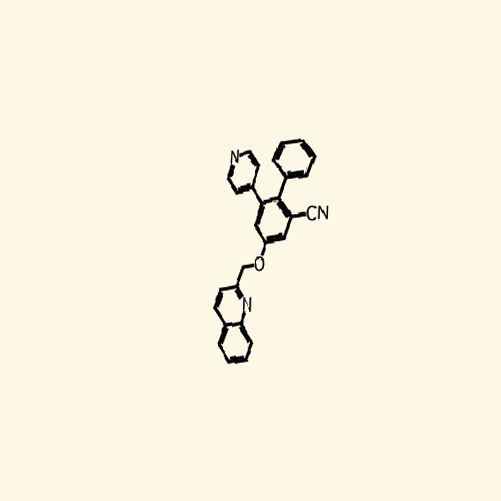 N#Cc1cc(OCc2ccc3ccccc3n2)cc(-c2ccncc2)c1-c1ccccc1